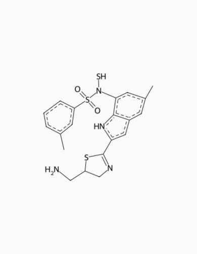 Cc1cccc(S(=O)(=O)N(S)c2cc(C)cc3cc(C4=NCC(CN)S4)[nH]c23)c1